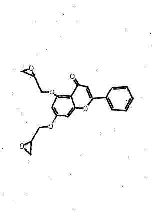 O=c1cc(-c2ccccc2)oc2cc(OCC3CO3)cc(OCC3CO3)c12